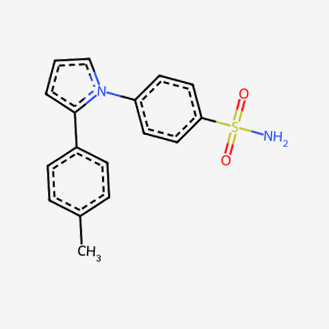 Cc1ccc(-c2cccn2-c2ccc(S(N)(=O)=O)cc2)cc1